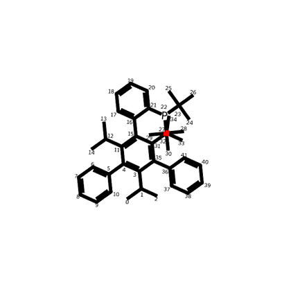 CC(C)c1c(-c2ccccc2)c(C(C)C)c(-c2ccccc2P(C(C)(C)C)C(C)(C)C)c(C(C)C)c1-c1ccccc1